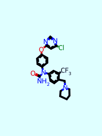 NC(=O)N(c1ccc(Oc2cc(Cl)ncn2)cc1)c1ccc(CN2CCCCC2)c(C(F)(F)F)c1